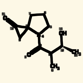 CC(C(=O)N1CCCC12CC2=O)[C@@H](C)O